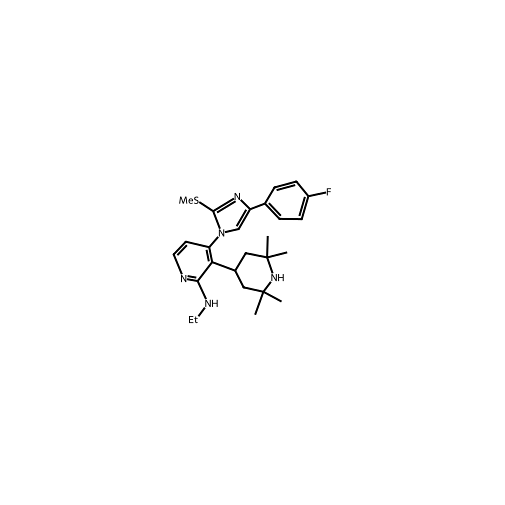 CCNc1nccc(-n2cc(-c3ccc(F)cc3)nc2SC)c1C1CC(C)(C)NC(C)(C)C1